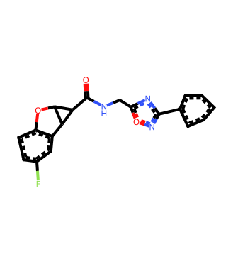 O=C(NCc1nc(-c2ccccc2)no1)C1C2Oc3ccc(F)cc3C21